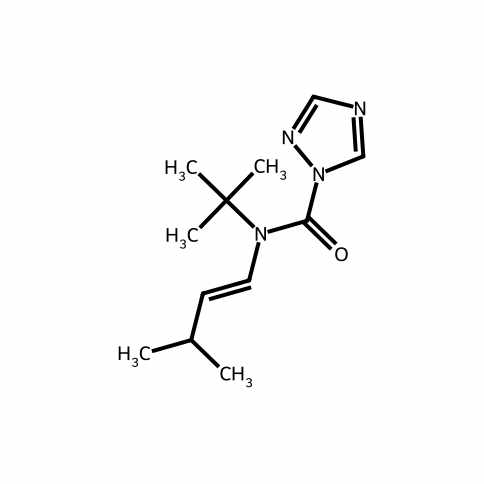 CC(C)C=CN(C(=O)n1cncn1)C(C)(C)C